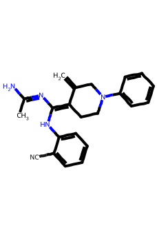 C=C1CN(c2ccccc2)CC/C1=C(/N=C(\C)N)Nc1ccccc1C#N